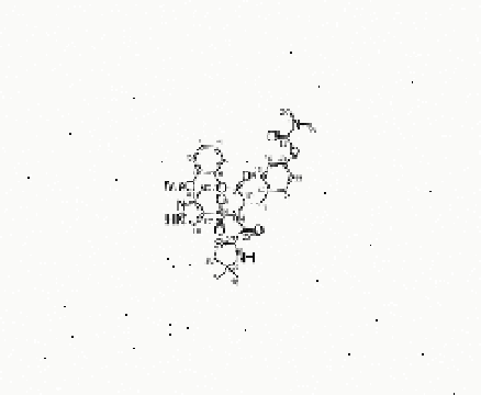 COc1ccccc1OC(=O)[C@H](Cc1ccc(OC(=O)N(C)C)cc1)N(C(=O)[C@H]1NC(C)(C)CS1)S(=O)(=O)c1c[nH]nc1C